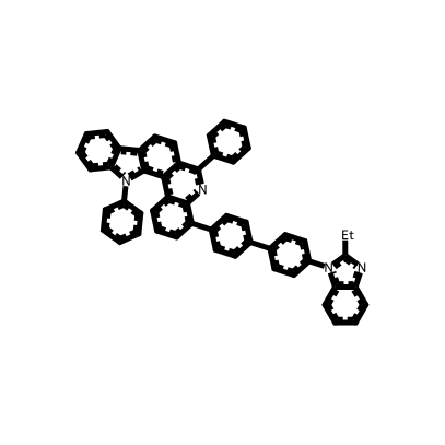 CCc1nc2ccccc2n1-c1ccc(-c2ccc(-c3cccc4c3nc(-c3ccccc3)c3ccc5c6ccccc6n(-c6ccccc6)c5c34)cc2)cc1